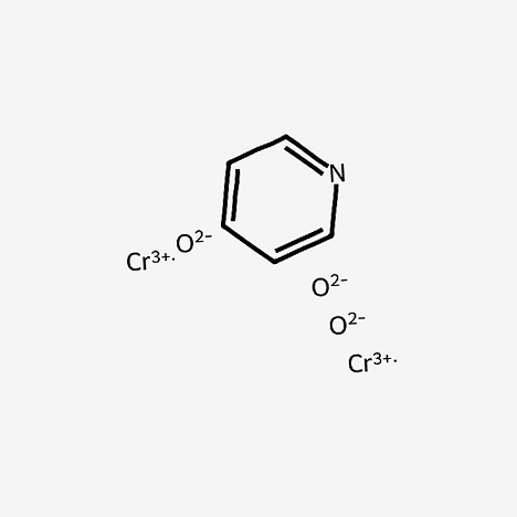 [Cr+3].[Cr+3].[O-2].[O-2].[O-2].c1ccncc1